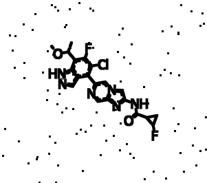 COC(C)c1c(F)c(Cl)c(-c2cn3cc(NC(=O)C4CC4F)nc3cn2)c2cn[nH]c12